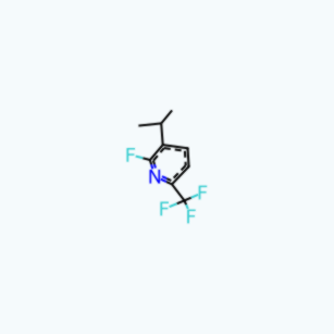 CC(C)c1ccc(C(F)(F)F)nc1F